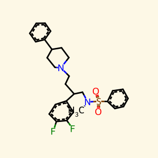 CN(CC(CCN1CCC(c2ccccc2)CC1)c1ccc(F)c(F)c1)S(=O)(=O)c1ccccc1